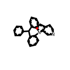 c1ccc(C(c2ccccc2)c2ccccc2-n2ccc3ccncc32)cc1